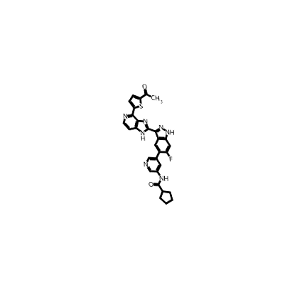 CC(=O)c1ccc(-c2nccc3[nH]c(-c4n[nH]c5cc(F)c(-c6cncc(NC(=O)C7CCCC7)c6)cc45)nc23)s1